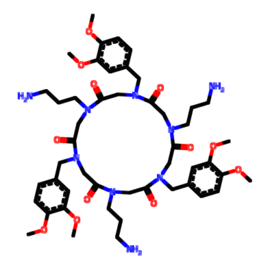 COc1ccc(CN2CC(=O)N(CCCN)CC(=O)N(Cc3ccc(OC)c(OC)c3)CC(=O)N(CCCN)CC(=O)N(Cc3ccc(OC)c(OC)c3)CC(=O)N(CCCN)CC2=O)cc1OC